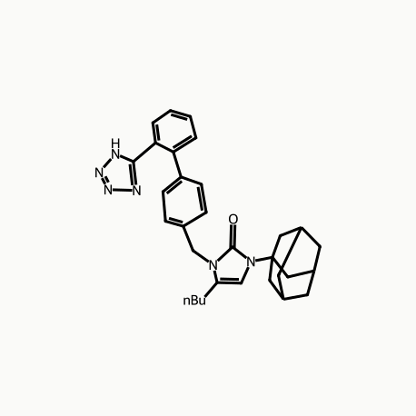 CCCCc1cn(C23CC4CC(CC(C4)C2)C3)c(=O)n1Cc1ccc(-c2ccccc2-c2nnn[nH]2)cc1